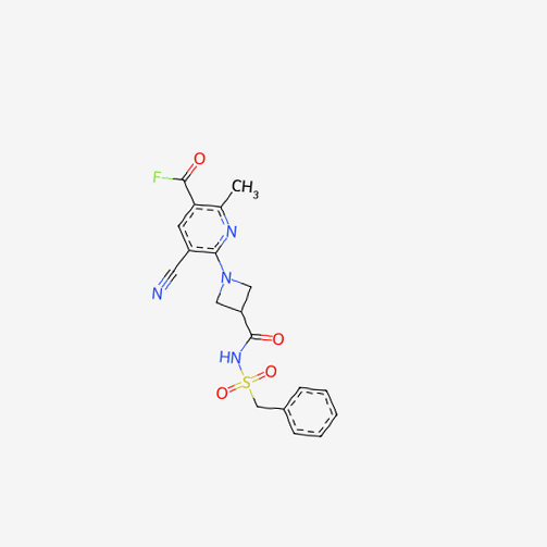 Cc1nc(N2CC(C(=O)NS(=O)(=O)Cc3ccccc3)C2)c(C#N)cc1C(=O)F